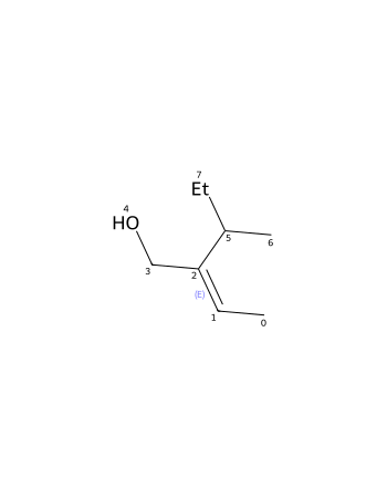 C/C=C(/CO)C(C)CC